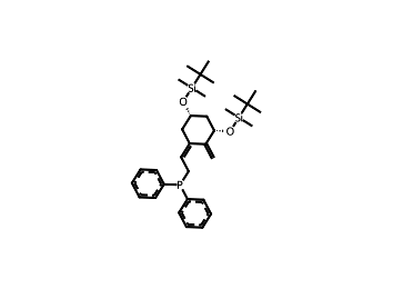 C=C1/C(=C\CP(c2ccccc2)c2ccccc2)C[C@H](O[Si](C)(C)C(C)(C)C)C[C@@H]1O[Si](C)(C)C(C)(C)C